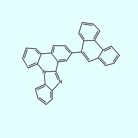 c1ccc2c(c1)cc(-c1ccc3c4ccccc4n4c5ccccc5nc4c3c1)c1ccccc12